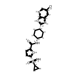 N=[S@@](=O)(c1ccc(C(=O)N[C@H]2CC[C@@H](c3nc4cc(Cl)cnc4o3)CC2)o1)C1CC1